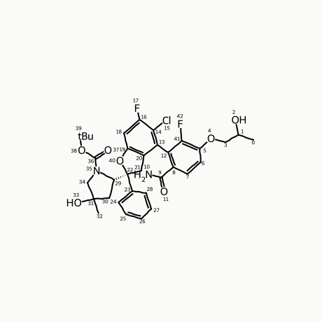 CC(O)COc1ccc(C(N)=O)c(-c2c(Cl)c(F)cc3c2C[C@](c2ccccc2)(C2CC(C)(O)CN2C(=O)OC(C)(C)C)O3)c1F